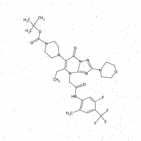 CCc1c(N2CCN(C(=O)OC(C)(C)C)CC2)c(=O)n2nc(N3CCOCC3)nc2n1CC(=O)Nc1cc(F)c(C(F)(F)F)cc1C